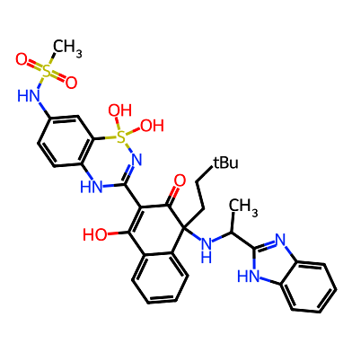 CC(NC1(CCC(C)(C)C)C(=O)C(C2=NS(O)(O)c3cc(NS(C)(=O)=O)ccc3N2)=C(O)c2ccccc21)c1nc2ccccc2[nH]1